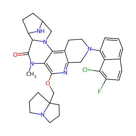 CN1C(=O)C2C3CCC(CN2c2c4c(nc(OCC56CCCN5CCC6)c21)CN(c1cccc2ccc(F)c(Cl)c12)CC4)N3